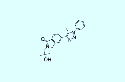 Cc1c(-c2ccc3c(c2)CN(CC(C)(C)O)C3=O)nnn1-c1ccccc1